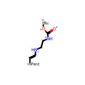 CCCCCC=CNCCNC(=O)OC(C)(C)C